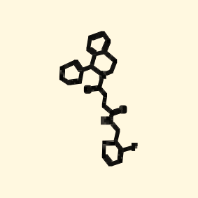 O=C(CCC(=O)N1CCc2ccccc2C1c1ccccc1)NCc1ccccc1F